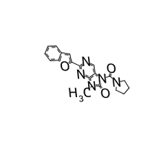 Cn1c(=O)n(C(=O)N2CCCC2)c2cnc(-c3cc4ccccc4o3)nc21